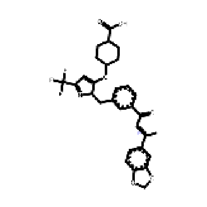 C/C(=C\C(=O)c1cccc(CC2N=C(C(F)(F)F)C=C2OC2CCC(C(=O)O)CC2)c1)c1ccc2c(c1)OCO2